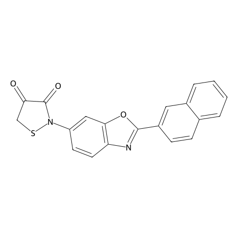 O=C1CSN(c2ccc3nc(-c4ccc5ccccc5c4)oc3c2)C1=O